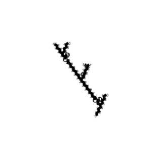 CCCCCC(CCCCC)CC(=O)OCCCCCCCCCCC(CCCCCCCCCCOC(=O)CC(CCCCC)CCCCC)COCCCN(C)C